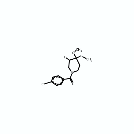 COC1(OC)CCN(C(=O)c2ccc(Cl)cc2)CC1F